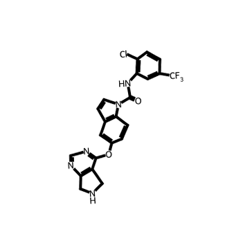 O=C(Nc1cc(C(F)(F)F)ccc1Cl)n1ccc2cc(Oc3ncnc4c3CNC4)ccc21